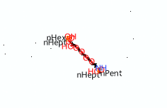 CCCCCCCC(CCCCC)P(=O)(O)NCCCOCCOCCOCCOCC(O)COP(=O)(O)C(CCCCCC)CCCCCCC